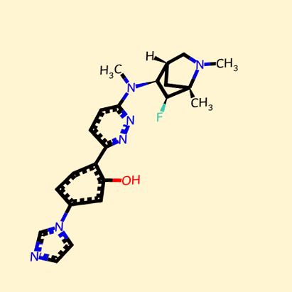 CN(c1ccc(-c2ccc(-n3ccnc3)cc2O)nn1)[C@H]1[C@@H]2CN(C)[C@@](C)(C2)[C@H]1F